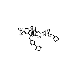 O=C(NCCC[C@H](NS(=O)(=O)c1ccc([N+](=O)[O-])cc1CCc1ccc(-c2ccccc2)cc1)C(=O)O)OCc1ccccc1